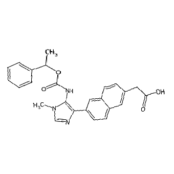 CC(OC(=O)Nc1c(-c2ccc3cc(CC(=O)O)ccc3c2)ncn1C)c1ccccc1